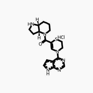 Cl.O=C(C1=CN(c2ncnc3[nH]ccc23)CCS1)N1CCC[C@H]2NCC[C@H]21